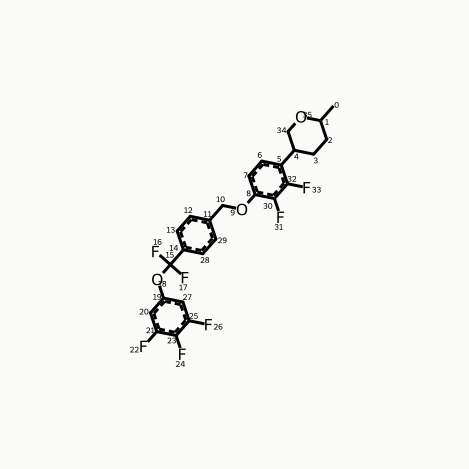 CC1CCC(c2ccc(OCc3ccc(C(F)(F)Oc4cc(F)c(F)c(F)c4)cc3)c(F)c2F)CO1